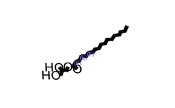 CCCCCCCCCCC/C=C/C=C/C=C/C(=O)OCC(O)CO